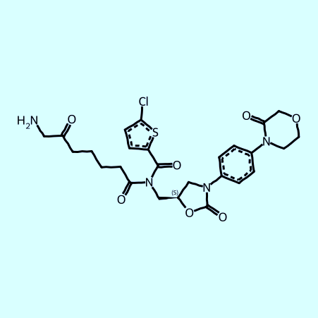 NCC(=O)CCCCC(=O)N(C[C@H]1CN(c2ccc(N3CCOCC3=O)cc2)C(=O)O1)C(=O)c1ccc(Cl)s1